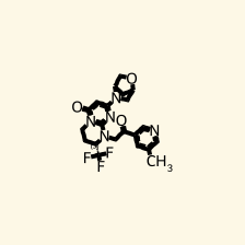 Cc1cncc(C(=O)CN2c3nc(N4CC5CC4CO5)cc(=O)n3CC[C@H]2C(F)(F)F)c1